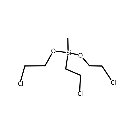 C[Si](CCCl)(OCCCl)OCCCl